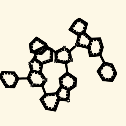 c1ccc(-c2ccc3c4ccccc4n(-c4nc(-c5ccccc5)nc(-c5ccc6oc7cccc(-c8nc(-c9ccccc9)c9sc%10ccccc%10c9n8)c7c6c5)n4)c3c2)cc1